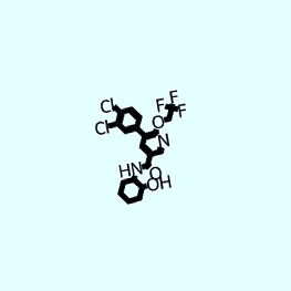 O=C(NC1CCCCC1O)c1cnc(OCC(F)(F)F)c(-c2ccc(Cl)c(Cl)c2)c1